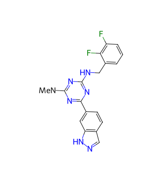 CNc1nc(NCc2cccc(F)c2F)nc(-c2ccc3cn[nH]c3c2)n1